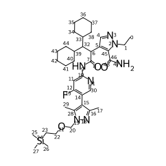 CCn1ncc(C(C(=O)Nc2cc(F)c(-c3c(C)nn(COCC[Si](C)(C)C)c3C)cn2)C(C2CCCCC2)C2CCCCC2)c1C(N)=O